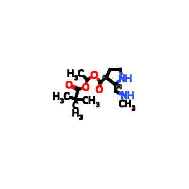 CNC[C@@H]1NCC[C@@H]1C(=O)OC(C)OC(=O)C(C)(C)C